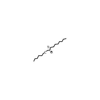 CCCCCCCC[P](=O)CCCCCCCC.[Ti]